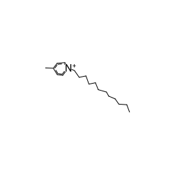 CCCCCCCCCCCC[n+]1ccc(C)cc1